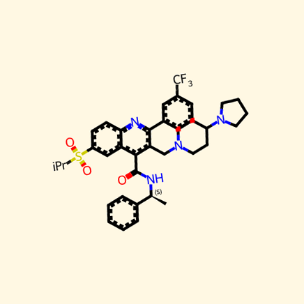 CC(C)S(=O)(=O)c1ccc2nc(-c3cccc(C(F)(F)F)c3)c(CN3CCC(N4CCCC4)CC3)c(C(=O)N[C@@H](C)c3ccccc3)c2c1